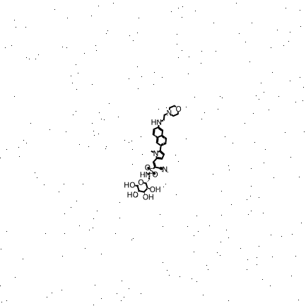 Cn1c(/C=C(\C#N)S(=O)(=O)NC[C@H]2OC(O)[C@H](O)[C@@H](O)[C@@H]2O)ccc1-c1ccc2cc(NCCN3CCOCC3)ccc2c1